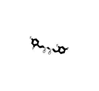 [O-][S+](/C=C/c1ccc(F)cc1F)C[S+]([O-])/C=C/c1ccc(F)cc1F